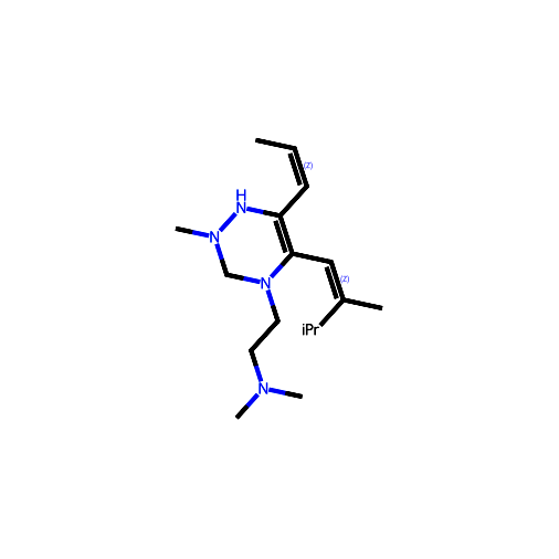 C/C=C\C1=C(/C=C(/C)C(C)C)N(CCN(C)C)CN(C)N1